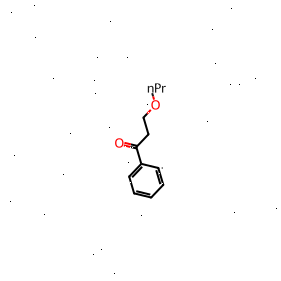 CCCOCCC(=O)c1[c]cccc1